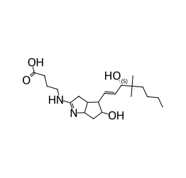 CCCCC(C)(C)[C@@H](O)C=CC1C(O)CC2N=C(NCCCC(=O)O)CC21